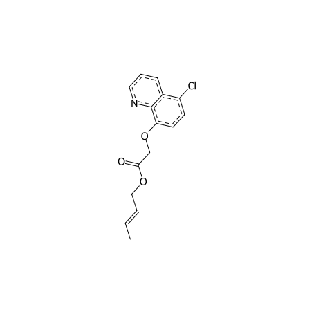 C/C=C/COC(=O)COc1ccc(Cl)c2cccnc12